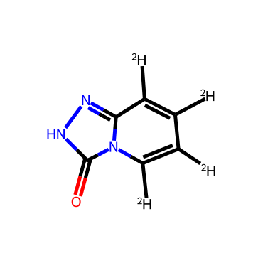 [2H]c1c([2H])c([2H])n2c(=O)[nH]nc2c1[2H]